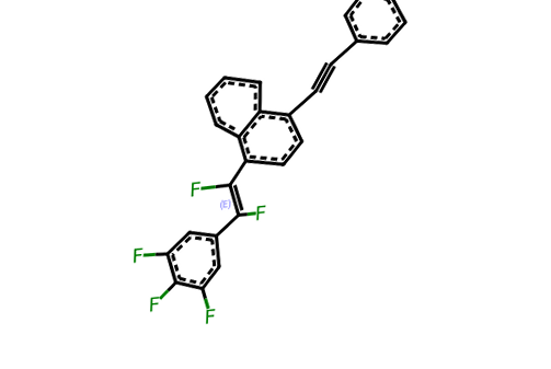 F/C(=C(/F)c1ccc(C#Cc2ccccc2)c2ccccc12)c1cc(F)c(F)c(F)c1